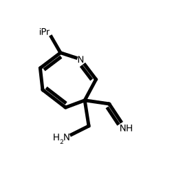 CC(C)C1=CC=CC(C=N)(CN)C=N1